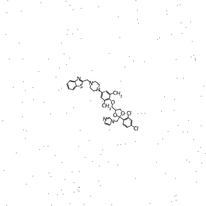 Cc1cc(N2CCN(Cc3nc4ccccc4s3)CC2)cc(C)c1OCC1COC(Cn2ccnc2)(c2ccc(Cl)cc2Cl)O1